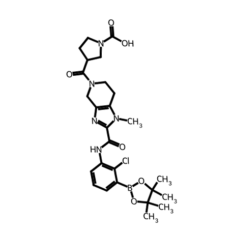 Cn1c(C(=O)Nc2cccc(B3OC(C)(C)C(C)(C)O3)c2Cl)nc2c1CCN(C(=O)C1CCN(C(=O)O)C1)C2